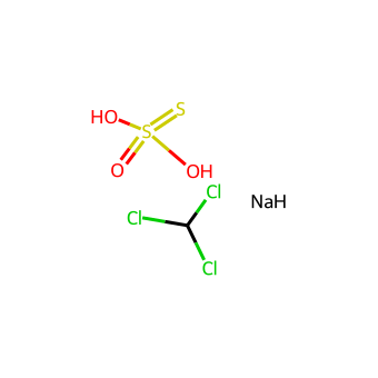 ClC(Cl)Cl.O=S(O)(O)=S.[NaH]